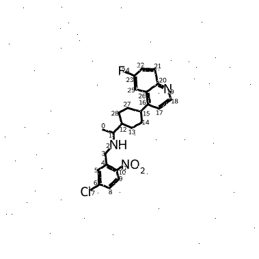 CC(NCc1cc(Cl)ccc1[N+](=O)[O-])C1CCC(c2ccnc3ccc(F)cc23)CC1